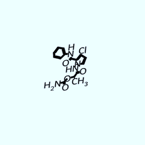 C[C@H](OC(N)=O)C(=O)Nn1ccc(Cl)c1C(=O)Nc1ccccc1